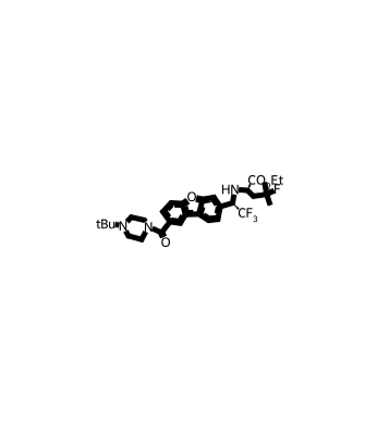 CCOC(=O)[C@H](CC(C)(C)F)N[C@@H](c1ccc2c(c1)oc1ccc(C(=O)N3CCN(C(C)(C)C)CC3)cc12)C(F)(F)F